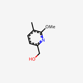 COc1nc(CO)ccc1C